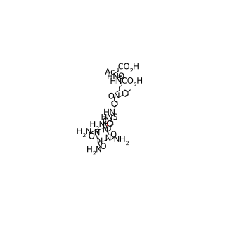 CC(=O)[C@@H](CCC(=O)O)NC(=O)N[C@H](CCCCN(Cc1ccc(C)cc1)C(=O)c1ccc(CNC(=S)Nc2ccc(CC3CN(CC(N)=O)CCN(CC(N)=O)CCN(CC(N)=O)CCN3CC(N)=O)cc2)cc1)C(=O)O